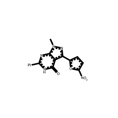 CC(C)c1nc2c(c(-c3ccc([N+](=O)[O-])o3)nn2C)c(=O)[nH]1